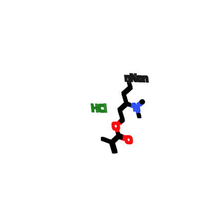 C=C(C)C(=O)OCCC(CCCCCCCCCCC)N(C)C.Cl